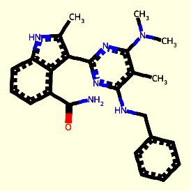 Cc1[nH]c2cccc(C(N)=O)c2c1-c1nc(NCc2ccccc2)c(C)c(N(C)C)n1